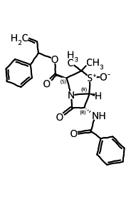 C=CC(OC(=O)[C@@H]1N2C(=O)[C@@H](NC(=O)c3ccccc3)[C@H]2[S+]([O-])C1(C)C)c1ccccc1